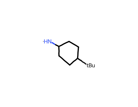 CC(C)(C)C1CCC([NH])CC1